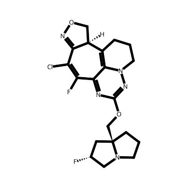 FC1=C(Cl)C2=NOC[C@H]2C2=C3C1=NC(OC[C@@]14CCCN1C[C@H](F)C4)=NN3CCC2